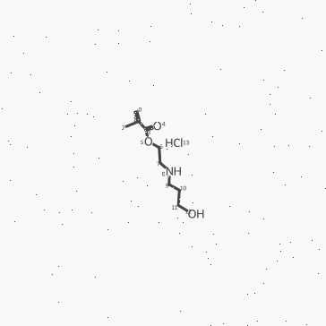 C=C(C)C(=O)OCCNCCCO.Cl